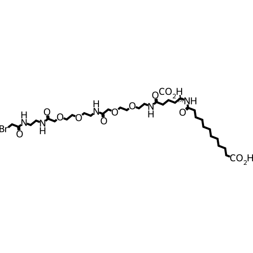 O=C(O)CCCCCCCCCCC(=O)N[C@@H](CCCC(=O)NCCOCCOCC(=O)NCCOCCOCC(=O)NCCNC(=O)CBr)C(=O)O